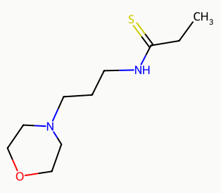 CCC(=S)NCCCN1CCOCC1